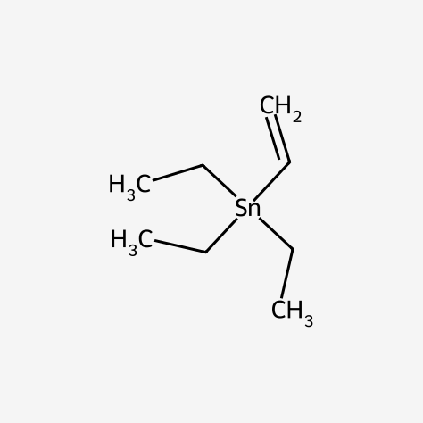 C=[CH][Sn]([CH2]C)([CH2]C)[CH2]C